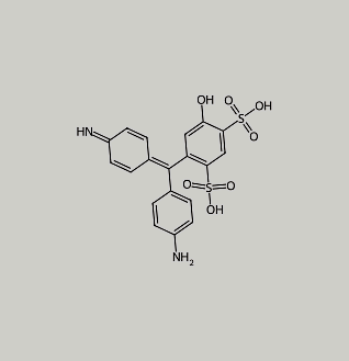 N=C1C=CC(=C(c2ccc(N)cc2)c2cc(O)c(S(=O)(=O)O)cc2S(=O)(=O)O)C=C1